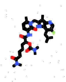 Cc1c(Cn2c(C)ccc(NC(=O)C(CCC=CC(=O)N(C)C)OC(=O)N(C)C)c2=O)[nH]c2c(CC(C)C)c(F)cnc12